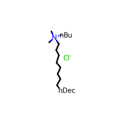 CCCCCCCCCCCCCCCCCC[N+](C)(C)CCCC.[Cl-]